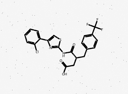 O=C(O)CC(Cc1ccc(C(F)(F)F)cc1)C(=O)Nc1nc(-c2ccccc2Cl)cs1